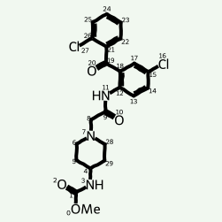 COC(=O)NC1CCN(CC(=O)Nc2ccc(Cl)cc2C(=O)c2ccccc2Cl)CC1